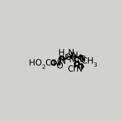 Cn1ccc(-c2nc(N)c(OCc3cccc(C(=O)N4CCC(C(=O)O)CC4)n3)nc2-c2cc(Cl)c3ncccc3c2)n1